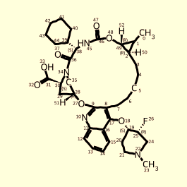 CC1[C@H]2CCCCCc3c(nc4ccccc4c3O[C@H]3CCN(C)C[C@H]3F)O[C@@H]3C[C@@H](C(=O)O)N(C3)C(=O)[C@H](C3CCCCC3)NC(=O)O[C@H]12